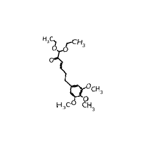 CCOC(OCC)C(=O)C=CCCc1cc(OC)c(OC)c(OC)c1